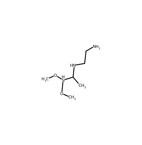 CO[SiH](OC)C(C)NCCN